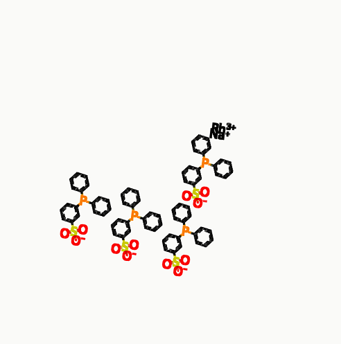 O=S(=O)([O-])c1cccc(P(c2ccccc2)c2ccccc2)c1.O=S(=O)([O-])c1cccc(P(c2ccccc2)c2ccccc2)c1.O=S(=O)([O-])c1cccc(P(c2ccccc2)c2ccccc2)c1.O=S(=O)([O-])c1cccc(P(c2ccccc2)c2ccccc2)c1.[Na+].[Rh+3]